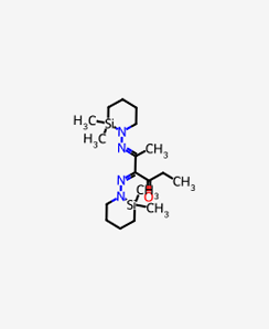 CCC(=O)C(=NN1CCCC[Si]1(C)C)C(C)=NN1CCCC[Si]1(C)C